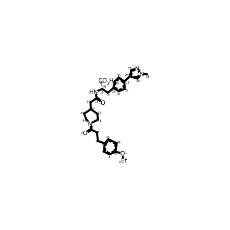 CCOc1ccc(CCC(=O)N2CCC(CC(=O)N[C@@H](Cc3ccc(-c4cnn(C)c4)cc3)C(=O)O)CC2)cc1